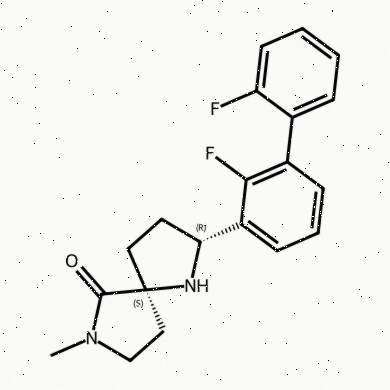 CN1CC[C@@]2(CC[C@H](c3cccc(-c4ccccc4F)c3F)N2)C1=O